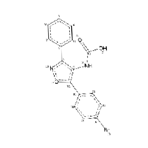 O=C(O)Nc1c(-c2ccccc2)noc1-c1ccc(Br)cc1